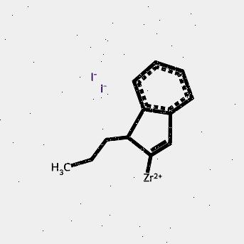 CCCC1[C]([Zr+2])=Cc2ccccc21.[I-].[I-]